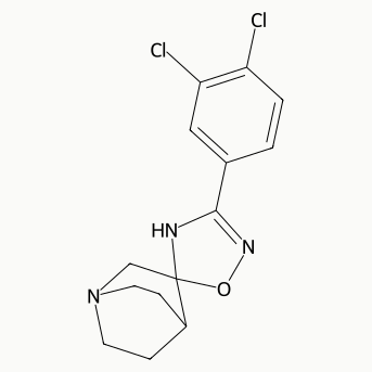 Clc1ccc(C2=NOC3(CN4CCC3CC4)N2)cc1Cl